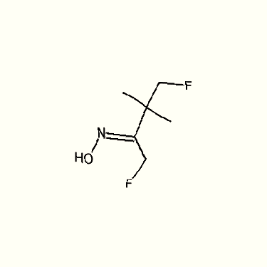 CC(C)(CF)C(CF)=NO